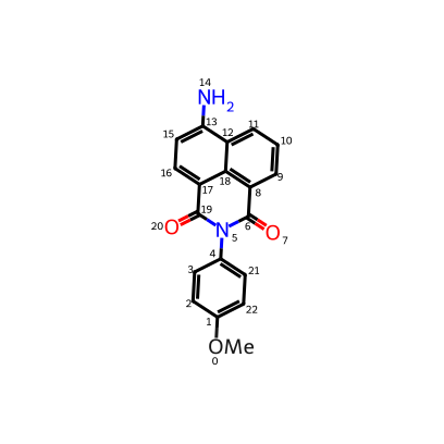 COc1ccc(N2C(=O)c3cccc4c(N)ccc(c34)C2=O)cc1